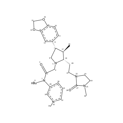 CCCCN(C(=O)CN1C[C@H](c2ccc3c(c2)OCO3)[C@@H](C)[C@@H]1CCN1CCN(C)C1=O)c1ccc[n+](C)c1